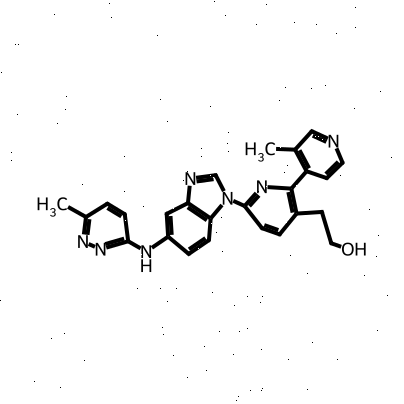 Cc1ccc(Nc2ccc3c(c2)ncn3-c2ccc(CCO)c(-c3ccncc3C)n2)nn1